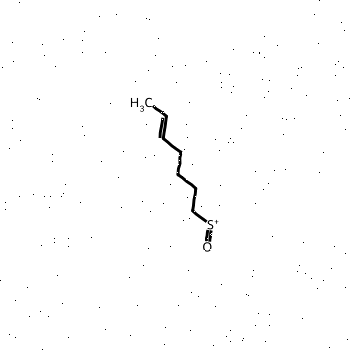 CC=CCCCC[S+]=O